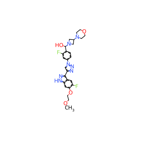 COCCOc1cc2[nH]nc(-c3cn(-c4ccc(C(O)N5CC(N6CCOCC6)C5)c(F)c4)nn3)c2cc1F